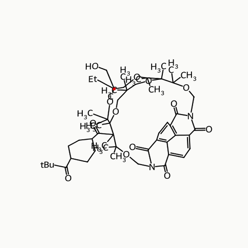 CCC1(CO)COC(C)(C)C2(C)OCC(C)(C)COC(C)(C(C)(C)OC1)C(C)(C(=O)C1CCC(C(=O)C(C)(C)C)CC1)C(C)(C)OCN1C(=O)c3ccc4c5c(ccc(c35)C1=O)C(=O)N(COC2(C)C)C4=O